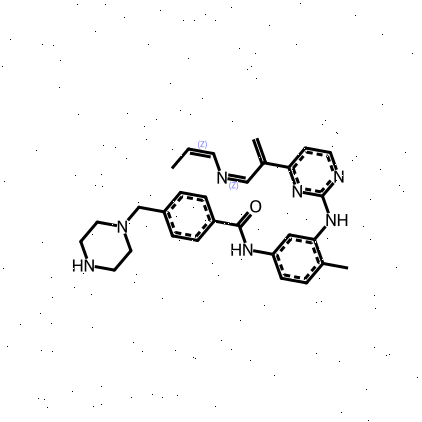 C=C(/C=N\C=C/C)c1ccnc(Nc2cc(NC(=O)c3ccc(CN4CCNCC4)cc3)ccc2C)n1